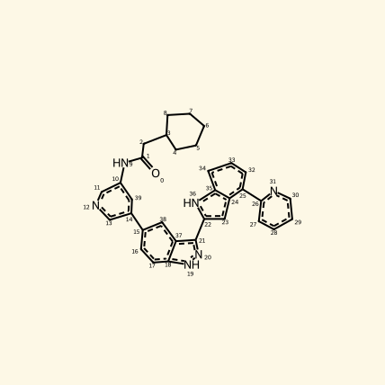 O=C(CC1CCCCC1)Nc1cncc(-c2ccc3[nH]nc(-c4cc5c(-c6ccccn6)cccc5[nH]4)c3c2)c1